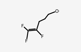 [O]CCCC(F)=C(F)F